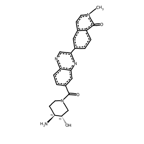 Cn1ccc2cc(-c3cnc4ccc(C(=O)N5CC[C@H](N)[C@@H](O)C5)cc4n3)ccc2c1=O